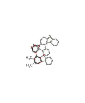 Cc1cc2c(c(-c3cnnnc3-c3c(-c4ccccc4)cccc3-c3c(-c4ccccc4)ccc4sc5ccccc5c34)c1C)Cc1ccccc1-2